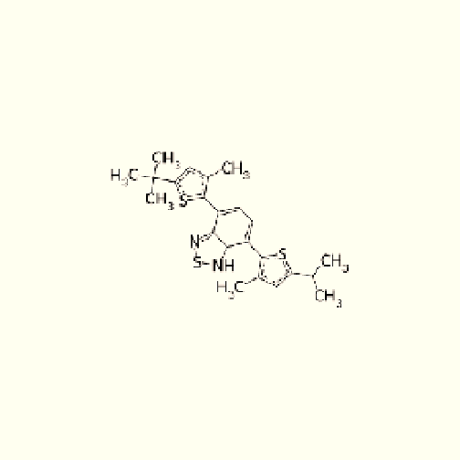 Cc1cc(C(C)(C)C)sc1C1=CC=C(c2sc(C(C)C)cc2C)C2NSN=C12